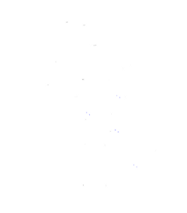 Cc1nc(NC2CCCCC2N(C)C)ncc1-c1ccc(C(F)(F)F)cc1F